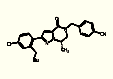 CCC(C)Cc1cc(Cl)ccc1-c1cc2n(n1)[C@@H](C)CN(Cc1ccc(C#N)cc1)C2=O